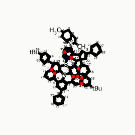 CC1CC2CC(C)N(c3ccc4c(c3)C(C3(c5ccccc5)C=C(c5ccccc5)C=C3c3ccccc3)c3cc(-c5ccc(C(C)(C)C)cc5)cc5c3B4c3cc(-c4ccc(C(C)(C)C)cc4)ccc3N5c3c(-c4ccccc4)cc(-c4ccccc4)cc3-c3ccccc3)C(C1)C2